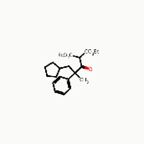 CCOC(=O)C(C(=O)OCC)C(=O)C(C)(CC1CCCC1)c1ccccc1